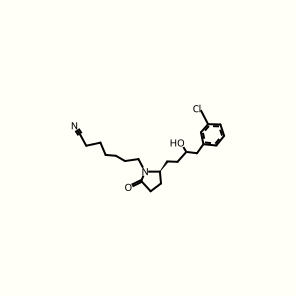 N#CCCCCCCN1C(=O)CC[C@@H]1CCC(O)Cc1cccc(Cl)c1